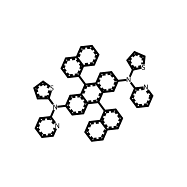 c1ccc(N(c2ccc3c(-c4cccc5ccccc45)c4cc(N(c5ccccn5)c5cccs5)ccc4c(-c4cccc5ccccc45)c3c2)c2cccs2)nc1